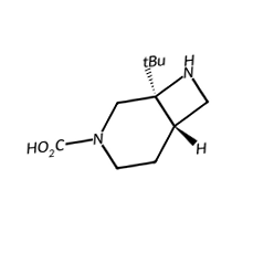 CC(C)(C)[C@@]12CN(C(=O)O)CC[C@H]1CN2